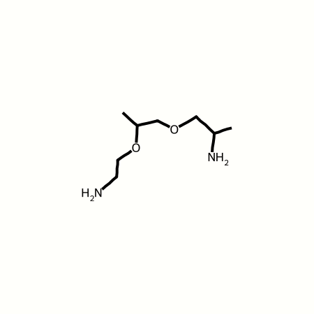 CC(N)COCC(C)OCCN